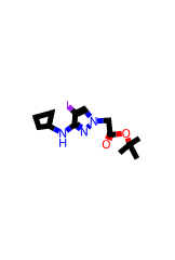 CC(C)(C)OC(=O)Cn1cc(I)c(NC2CCC2)n1